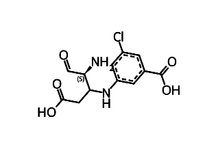 N[C@H](C=O)C(CC(=O)O)Nc1cc(Cl)cc(C(=O)O)c1